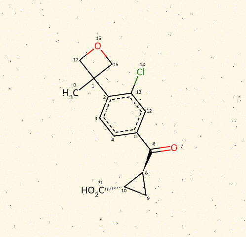 CC1(c2ccc(C(=O)[C@H]3C[C@@H]3C(=O)O)cc2Cl)COC1